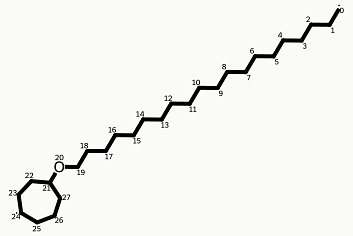 [CH2]CCCCCCCCCCCCCCCCCCCOC1CC[CH]CCC1